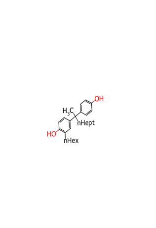 CCCCCCCC(C)(c1ccc(O)cc1)c1ccc(O)c(CCCCCC)c1